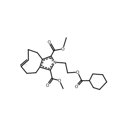 COC(=O)c1c2c(c(C(=O)OC)n1CCOC(=O)C1CCCCC1)CC/C=C/CC2